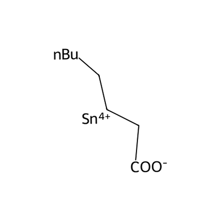 CCCCCCCC(=O)[O-].[Sn+4]